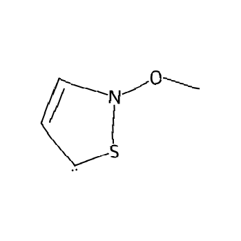 CON1C=C[C]S1